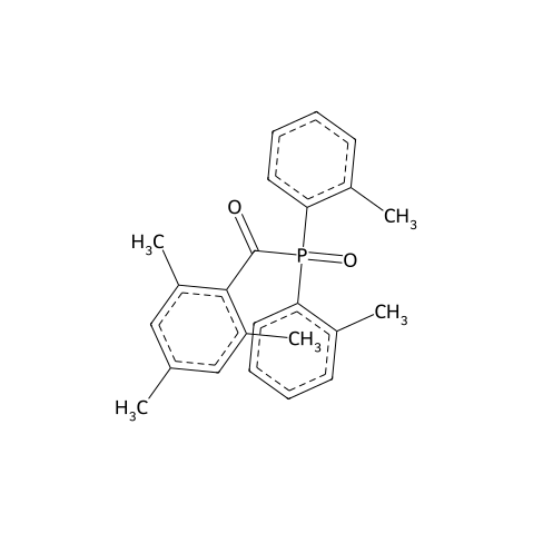 Cc1cc(C)c(C(=O)P(=O)(c2ccccc2C)c2ccccc2C)c(C)c1